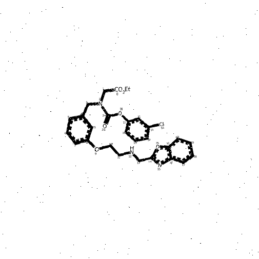 CCOC(=O)CN(Cc1cccc(OCCNCc2nc3ccccc3o2)c1)C(=O)Oc1cccc(Cl)c1